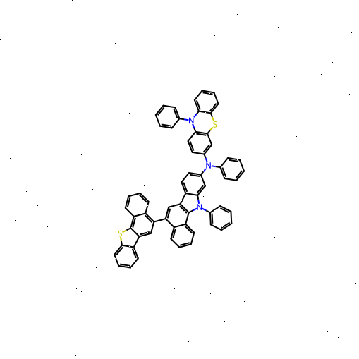 c1ccc(N(c2ccc3c(c2)Sc2ccccc2N3c2ccccc2)c2ccc3c4cc(-c5cc6c7ccccc7sc6c6ccccc56)c5ccccc5c4n(-c4ccccc4)c3c2)cc1